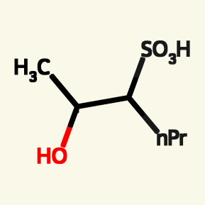 CCCC([C](C)O)S(=O)(=O)O